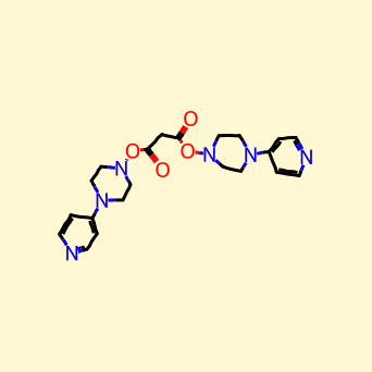 O=C(CC(=O)ON1CCN(c2ccncc2)CC1)ON1CCN(c2ccncc2)CC1